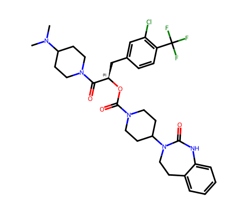 CN(C)C1CCN(C(=O)[C@@H](Cc2ccc(C(F)(F)F)c(Cl)c2)OC(=O)N2CCC(N3CCc4ccccc4NC3=O)CC2)CC1